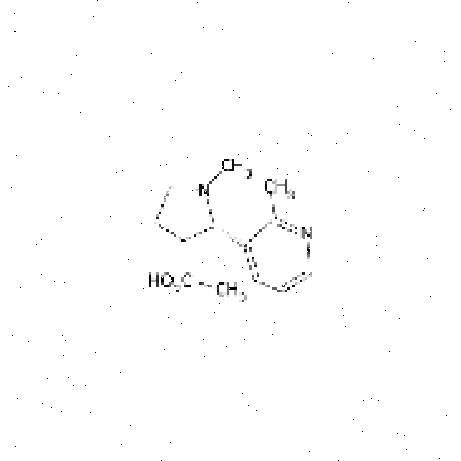 CC(=O)O.Cc1ncccc1[C@@H]1CCCN1C